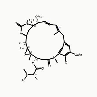 COc1cc2cc(c1Cl)N(C)C(=O)C[C@H](OC(=O)[C@H](C)N(C)C(C)=O)[C@]1(C)O[C@H]1[C@H](C)C1C[C@@](O)(NC(=O)O1)[C@H](OC)/C=C/C=C(\C)C2